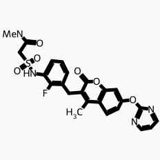 CNC(=O)CS(=O)(=O)Nc1cccc(Cc2c(C)c3ccc(Oc4ncccn4)cc3oc2=O)c1F